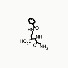 N=C(C(=O)CN)C(CCNC(=O)c1ccccc1)C(=O)O